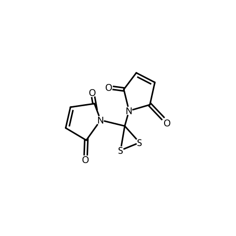 O=C1C=CC(=O)N1C1(N2C(=O)C=CC2=O)SS1